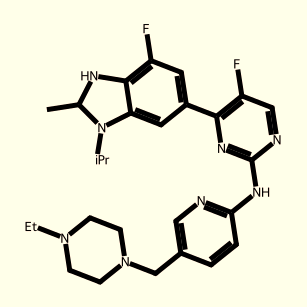 CCN1CCN(Cc2ccc(Nc3ncc(F)c(-c4cc(F)c5c(c4)N(C(C)C)C(C)N5)n3)nc2)CC1